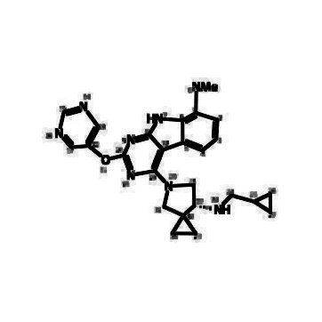 CNc1cccc2c1[nH]c1nc(Oc3cncnc3)nc(N3C[C@H](NCC4CC4)C4(CC4)C3)c12